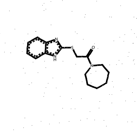 O=C(CSc1nc2ccccc2[nH]1)N1CCCCCC1